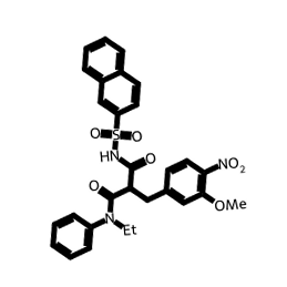 CCN(C(=O)C(Cc1ccc([N+](=O)[O-])c(OC)c1)C(=O)NS(=O)(=O)c1ccc2ccccc2c1)c1ccccc1